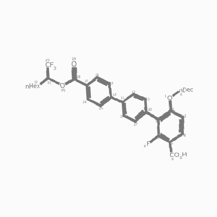 CCCCCCCCCCOc1ccc(C(=O)O)c(F)c1-c1ccc(-c2ccc(C(=O)OC(CCCCCC)C(F)(F)F)cc2)cc1